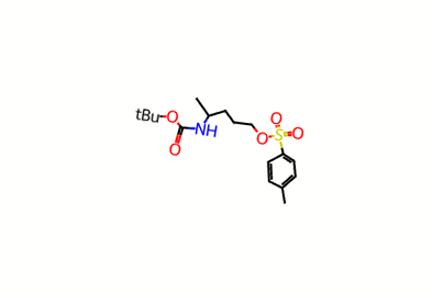 Cc1ccc(S(=O)(=O)OCCCC(C)NC(=O)OC(C)(C)C)cc1